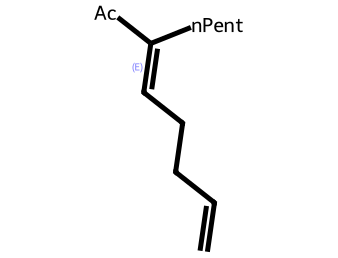 C=CCC/C=C(\CCCCC)C(C)=O